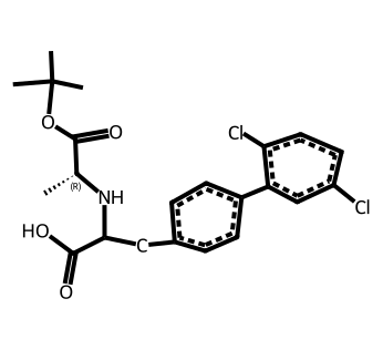 C[C@@H](NC(Cc1ccc(-c2cc(Cl)ccc2Cl)cc1)C(=O)O)C(=O)OC(C)(C)C